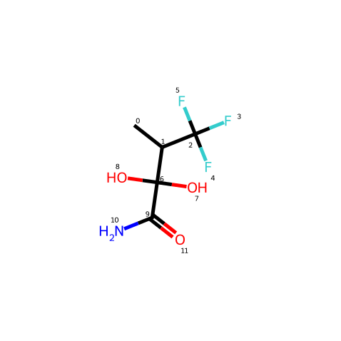 CC(C(F)(F)F)C(O)(O)C(N)=O